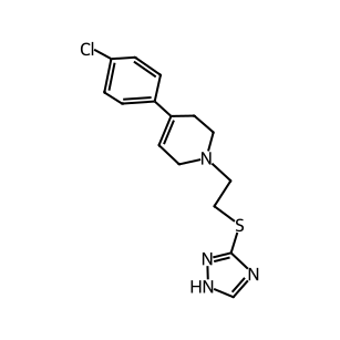 Clc1ccc(C2=CCN(CCSc3nc[nH]n3)CC2)cc1